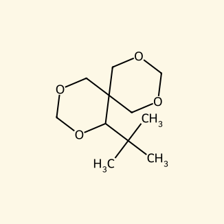 CC(C)(C)C1OCOCC12COCOC2